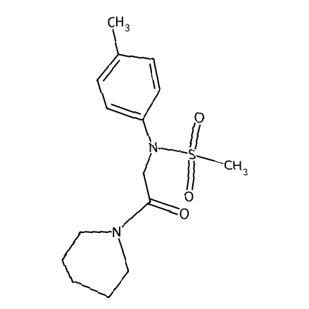 Cc1ccc(N(CC(=O)N2CCCCC2)S(C)(=O)=O)cc1